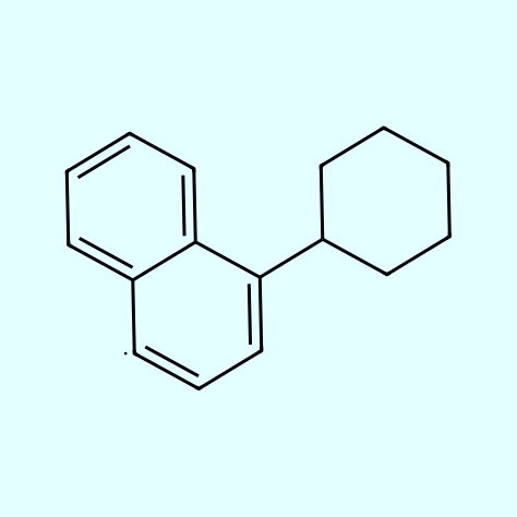 [c]1ccc(C2CCCCC2)c2ccccc12